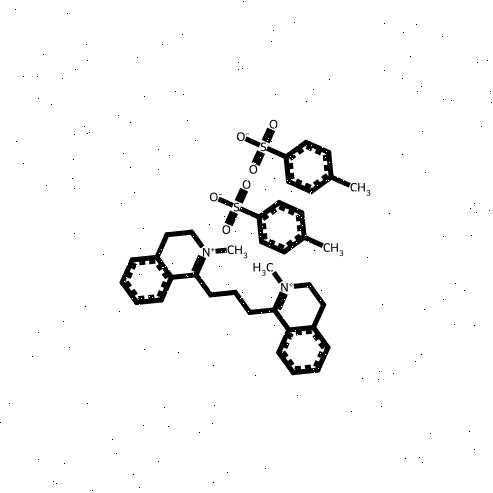 C[N+]1=C(CCCC2=[N+](C)CCc3ccccc32)c2ccccc2CC1.Cc1ccc(S(=O)(=O)[O-])cc1.Cc1ccc(S(=O)(=O)[O-])cc1